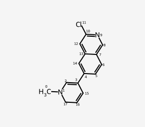 CN1C=C(c2ccc3cnc(Cl)cc3c2)C=CC1